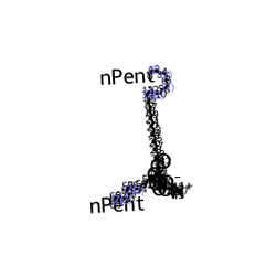 CCCCC/C=C\C/C=C\C/C=C\C/C=C\C/C=C\CCCCCCCCCCCCCCCCC(=O)OC[C@H](COP(=O)([O-])OCC[N+](C)(C)C)OC(=O)CCC/C=C\C/C=C\C/C=C\C/C=C\CCCCC